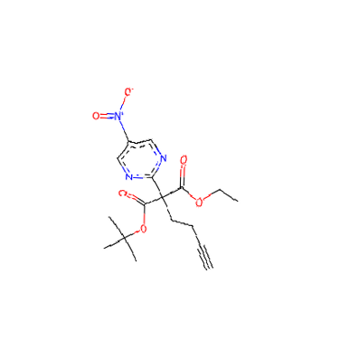 C#CCCC(C(=O)OCC)(C(=O)OC(C)(C)C)c1ncc([N+](=O)[O-])cn1